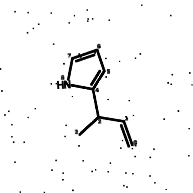 [CH]=CC(C)c1ccc[nH]1